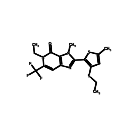 CCSc1cc(C)sc1-c1nc2cc(C(F)(F)F)n(CC)c(=O)c2n1C